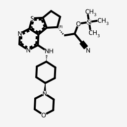 C[Si](C)(C)OC(C#N)C[C@H]1CCc2sc3ncnc(N[C@H]4CC[C@H](N5CCOCC5)CC4)c3c21